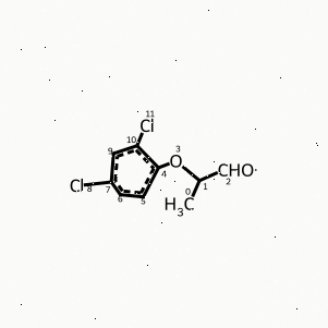 CC([C]=O)Oc1ccc(Cl)cc1Cl